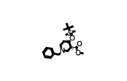 COC(=O)[C@@H]1CN(Cc2ccccc2)CC[C@H]1O[Si](C)(C)C(C)(C)C